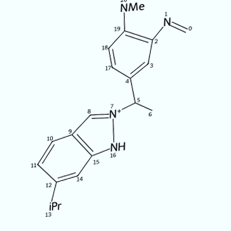 C=Nc1cc(C(C)[n+]2cc3ccc(C(C)C)cc3[nH]2)ccc1NC